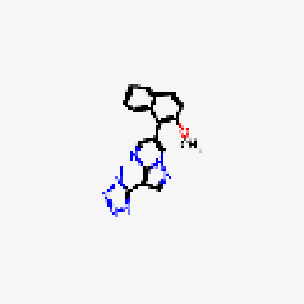 COc1ccc2ccccc2c1-c1cnc2c(-c3nnn[nH]3)cnn2c1